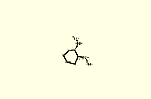 [2H]NC1CCCC[C@H]1N[2H]